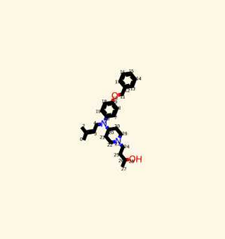 CC(C)=CCN(c1ccc(OCc2ccccc2)cc1)C1CCN(CCC(C)O)CC1